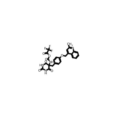 Cc1cc(COc2ccc(CC3(NC(=O)OC(=O)C(F)(F)F)C(=O)NC(=O)NC3=O)cc2)c2ccccc2n1